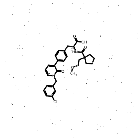 COCCC1(C(=O)N[C@@H](Cc2ccc(-c3cccn(Cc4cccc(Cl)c4)c3=O)cc2)C(=O)O)CCCC1